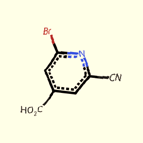 N#Cc1cc(C(=O)O)cc(Br)n1